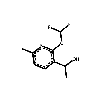 [CH2]C(O)c1ccc(C)nc1OC(F)F